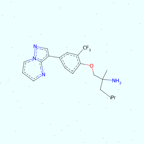 CC(C)CC(C)(N)COc1ccc(-c2cnn3cccnc23)cc1C(F)(F)F